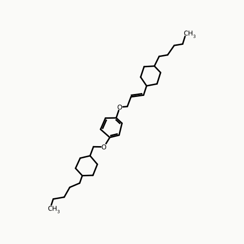 CCCCCC1CCC(/C=C/COc2ccc(OCC3CCC(CCCCC)CC3)cc2)CC1